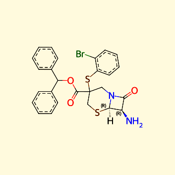 N[C@@H]1C(=O)N2CC(Sc3ccccc3Br)(C(=O)OC(c3ccccc3)c3ccccc3)CS[C@H]12